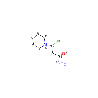 NC(=O)CC(F)N1CCCCC1